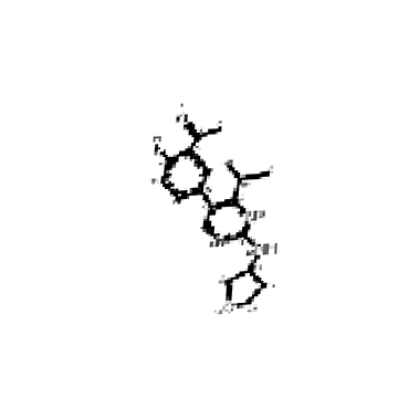 CC(=O)c1cc(-c2cnc(NC3CCOC3)nc2C(C)C)ccc1F